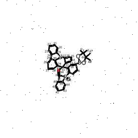 CC1(C)OB(c2ccc3c(c2)C2(c4ccccc4-n4c5ccccc5c5cccc2c54)c2ccccc2P3(=O)c2ccccc2)OC1(C)C